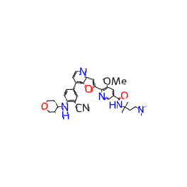 COc1cc(C(=O)NC(C)(C)CCN(C)C)cnc1-c1cc2nccc(-c3ccc(NC4CCOCC4)c(C#N)c3)c2o1